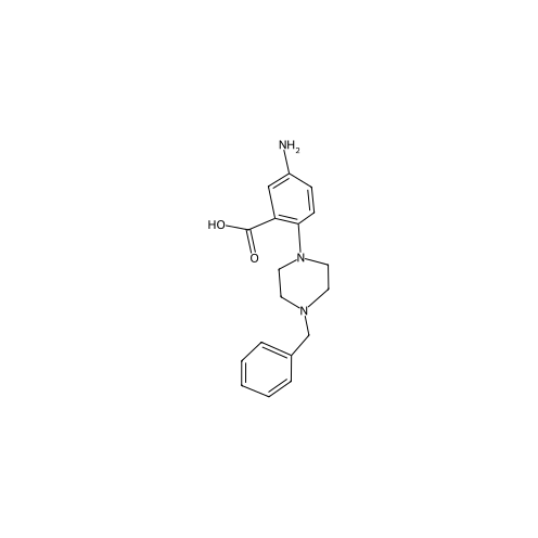 Nc1ccc(N2CCN(Cc3ccccc3)CC2)c(C(=O)O)c1